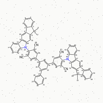 CC1(C)c2ccccc2-c2cc3c4ccccc4n(-c4c(C#N)cc(-c5cc(-c6ccccc6)cc(-c6cc(C#N)c(-n7c8ccccc8c8cc9c(cc87)C(C)(C)c7ccccc7-9)c(C#N)c6)c5)cc4C#N)c3cc21